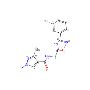 Cn1cc(C(=O)NCc2nc(-c3cccc(F)c3)no2)c(C(C)(C)C)n1